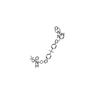 CC(C)(C)OC(=O)N[C@H]1C[C@H](Oc2ccc(C(C)(C)c3ccc(OCc4ccnc(N5CCOCC5)n4)cc3)cc2)C1